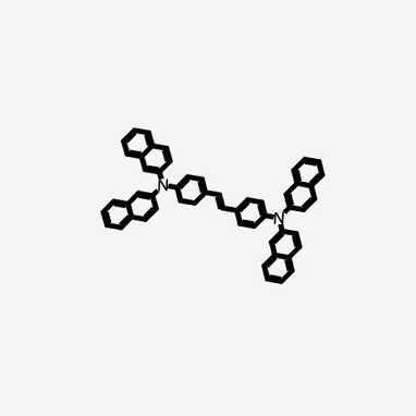 C(=Cc1ccc(N(c2ccc3ccccc3c2)c2ccc3ccccc3c2)cc1)C1=CC=C(N(c2ccc3ccccc3c2)c2ccc3ccccc3c2)CC1